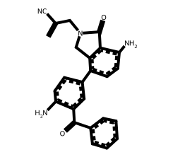 C=C(C#N)CN1Cc2c(-c3ccc(N)c(C(=O)c4ccccc4)c3)ccc(N)c2C1=O